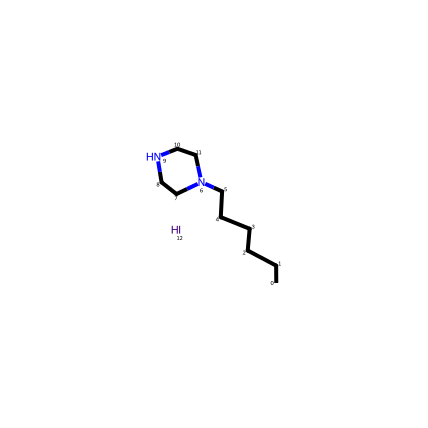 CCCCCCN1CCNCC1.I